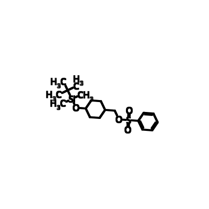 CC(C)(C)[Si](C)(C)OC1CCC(COS(=O)(=O)c2ccccc2)CC1